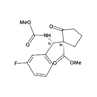 COC(=O)N[C@@H](c1cccc(F)c1)[C@]1(C(=O)OC)CCCC1=O